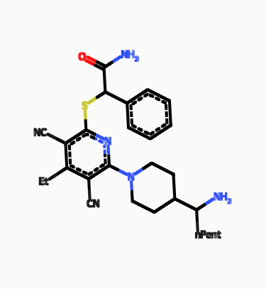 CCCCCC(N)C1CCN(c2nc(SC(C(N)=O)c3ccccc3)c(C#N)c(CC)c2C#N)CC1